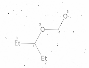 CCC(CC)OC[O]